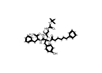 CC(C)(C)OC(=O)NC[C@@](C)(O)C[C@@](Cc1ccc(O)cc1)(NC(=O)CCCCCc1ccccc1)C(=O)NC(Cc1ccccc1)C(N)=O